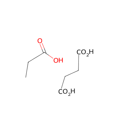 CCC(=O)O.O=C(O)CCC(=O)O